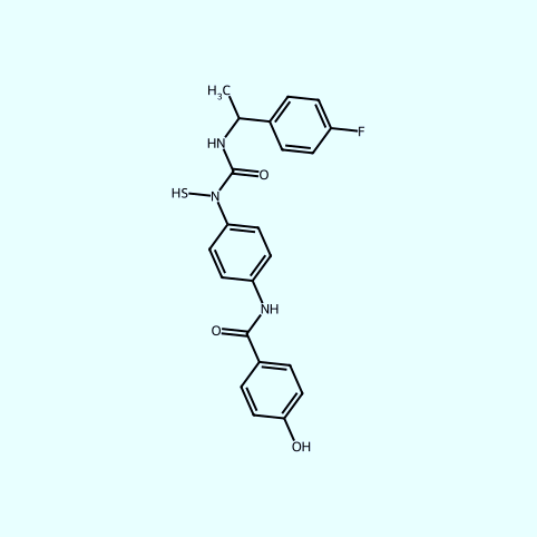 CC(NC(=O)N(S)c1ccc(NC(=O)c2ccc(O)cc2)cc1)c1ccc(F)cc1